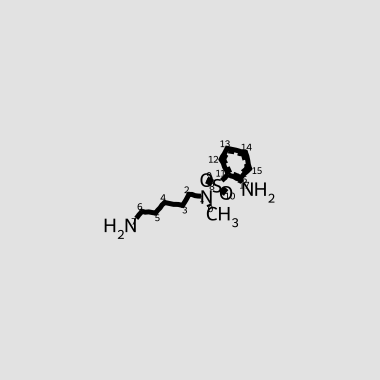 CN(CCCCCN)S(=O)(=O)c1ccccc1N